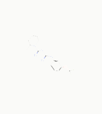 CC1CCCCN1C(=N)NC(=N)Nc1cccc(OC(F)(F)F)c1